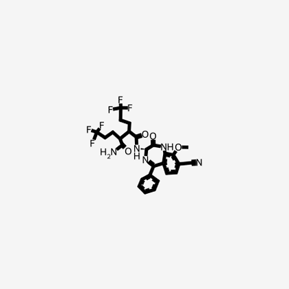 COc1c(C#N)ccc2c1NC(=O)[C@@H](NC(=O)C(CCC(F)(F)F)C(CCC(F)(F)F)C(N)=O)N=C2c1ccccc1